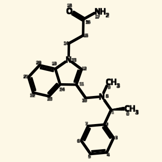 C[C@@H](c1ccccc1)N(C)Cc1cn(CCC(N)=O)c2ccccc12